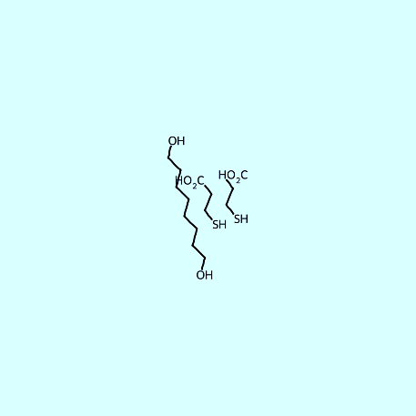 O=C(O)CCS.O=C(O)CCS.OCCCCCCCCO